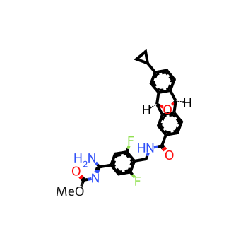 COC(=O)N=C(N)c1cc(F)c(CNC(=O)c2ccc3c(c2)[C@@H]2O[C@H]3c3ccc(C4CC4)cc32)c(F)c1